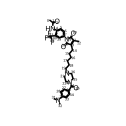 CC(=O)Nc1ccc(N2C(=O)C(C)=C(CCCCCCN3CCN(C(=O)c4ccc(N(C)C)cc4)CC3)C2=O)cc1C(F)(F)F